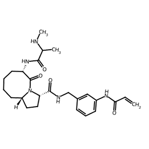 C=CC(=O)Nc1cccc(CNC(=O)[C@@H]2CC[C@@H]3CCCC[C@H](NC(=O)C(C)NC)C(=O)N32)c1